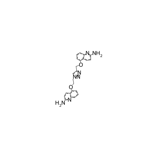 Nc1ccc2c(OCCn3cc(COc4cccc5nc(N)ccc45)nn3)cccc2n1